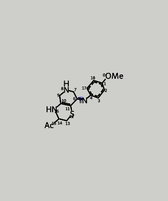 COc1ccc(/N=C2\CNCC3=C2SCC(C(C)=O)N3)cc1